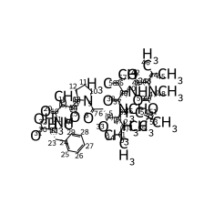 CC[C@@H](C)[C@@H]([C@@H](CC(=O)N1CCC[C@@H]1[C@H](OC)[C@H](C)C(=O)N[C@H](Cc1ccccc1)C(=O)O)OC)N(C)C(=O)[C@H](NC(=O)[C@@H](C(C)C)N(C)C(=O)OC(C)(C)C)C(C)C